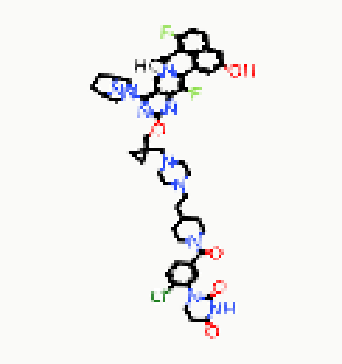 C#Cc1c(F)ccc2cc(O)cc(-c3ncc4c(N5CC6CCC(C5)N6)nc(OCC5(CN6CCN(CCC7CCN(C(=O)c8ccc(Cl)c(N9CCC(=O)NC9=O)c8)CC7)CC6)CC5)nc4c3F)c12